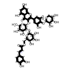 C[C@@H]1O[C@@H](Oc2c(-c3cc(O)c(O[C@@H]4OC[C@@H](O)[C@H](O)[C@H]4O)c(O)c3)oc3cc(O)cc(O)c3c2=O)[C@H](O[C@@H]2O[C@H](COC(=O)/C=C/c3ccc(O)c(O)c3)[C@@H](O)[C@H](O)[C@H]2O)[C@H](O)[C@H]1O